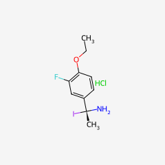 CCOc1ccc([C@](C)(N)I)cc1F.Cl